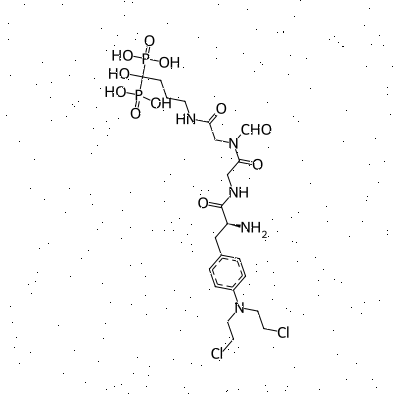 N[C@@H](Cc1ccc(N(CCCl)CCCl)cc1)C(=O)NCC(=O)N(C=O)CC(=O)NCCCC(O)(P(=O)(O)O)P(=O)(O)O